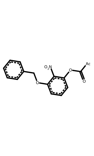 CC(=O)C(=O)Oc1cccc(OCc2ccccc2)c1[N+](=O)[O-]